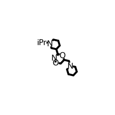 CC(C)N1CCCC(C2=NOCC(CN3CCCCC3)O2)C1